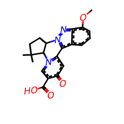 COc1cccc2c3n(nc12)C1CCC(C)(C)C1n1cc(C(=O)O)c(=O)cc1-3